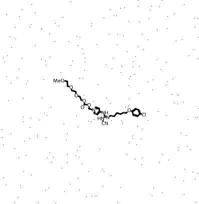 COCCOCCOCCOC(=O)OC[n+]1ccc(N/C(=N\CCCCCCOc2ccc(Cl)cc2)NC#N)cc1